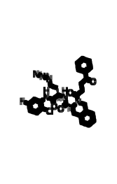 [N-]=[N+]=NCC[C@H](NC(=O)[C@@H]1Cc2ccccc2CN1C(=O)CCC(=O)c1ccccc1)C(=O)Nc1cc(F)ccc1Cl